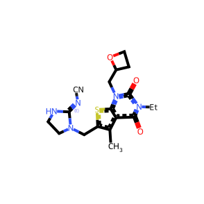 CCn1c(=O)c2c(C)c(CN3CCN/C3=N\C#N)sc2n(CC2CCO2)c1=O